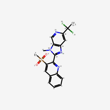 CCS(=O)(=O)c1cc2ccccc2nc1-c1nc2cc(C(F)(F)C(F)(F)F)ncc2n1C